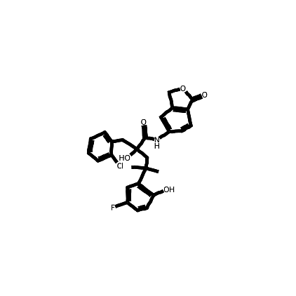 CC(C)(CC(O)(Cc1ccccc1Cl)C(=O)Nc1ccc2c(c1)COC2=O)c1cc(F)ccc1O